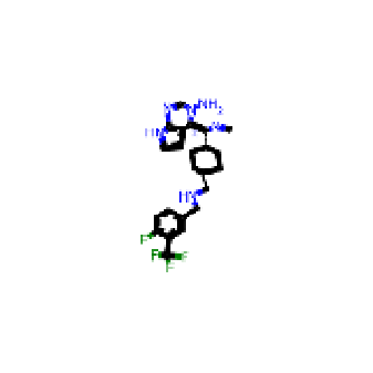 C=N/C(=C1/c2cc[nH]c2N=CN1N)[C@H]1CC[C@H](CNCc2ccc(F)c(C(F)(F)F)c2)CC1